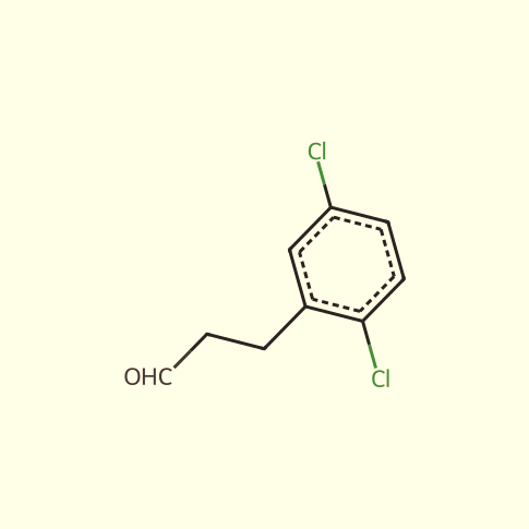 O=CCCc1cc(Cl)ccc1Cl